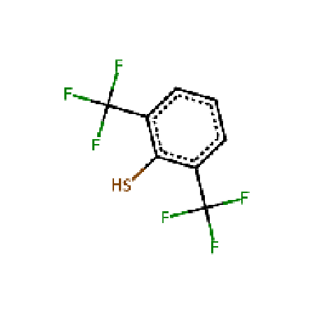 FC(F)(F)c1cccc(C(F)(F)F)c1S